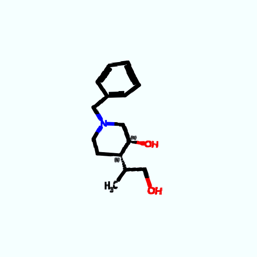 CC(CO)[C@@H]1CCN(Cc2ccccc2)C[C@H]1O